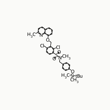 Cc1ccc2cccc(OCc3c(Cl)ccc(S(=O)(=O)N(C)Cc4ccc(O[Si](C)(C)C(C)(C)C)cc4)c3Cl)c2n1